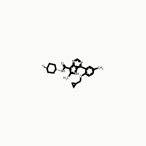 Cc1ccc(OCC2CC2)c(-c2ncnc3c(C(=O)N[C@H]4CC[C@H](F)CC4)c(C)[nH]c23)c1